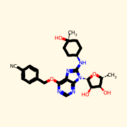 C[C@H]1O[C@@H](n2c(N[C@H]3CC[C@@](C)(O)CC3)nc3c(OCc4ccc(C#N)cc4)ncnc32)[C@H](O)[C@@H]1O